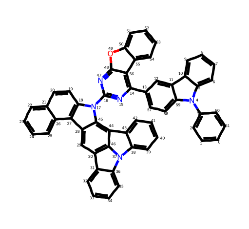 c1ccc(-n2c3ccccc3c3cc(-c4nc(-n5c6ccc7ccccc7c6c6cc7c8ccccc8n8c9ccccc9c(c65)c78)nc5oc6ccccc6c45)ccc32)cc1